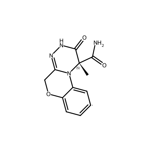 C[C@]1(C(N)=O)C(=O)NN=C2COc3cc[c]cc3N21